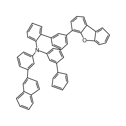 c1ccc(-c2cccc(N(c3cccc(-c4ccc5ccccc5c4)c3)c3ccccc3-c3cccc(-c4cccc5c4oc4ccccc45)c3)c2)cc1